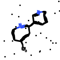 FC(F)(F)c1ccnc(-c2cccnc2)c1